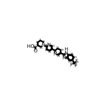 O=C(O)[C@H]1CCCN(c2ccc(C3=NC=C(c4nc5cc(C(F)(F)F)ccc5[nH]4)CC3)cn2)C1